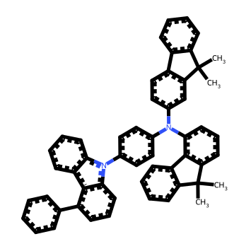 CC1(C)c2ccccc2-c2ccc(N(c3ccc(-n4c5ccccc5c5c(-c6ccccc6)cccc54)cc3)c3cccc4c3-c3ccccc3C4(C)C)cc21